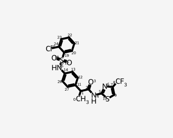 CC(C(=O)Nc1nc(C(F)(F)F)cs1)c1ccc(NS(=O)(=O)c2ccccc2Cl)cc1